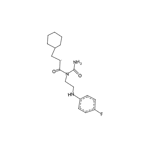 NC(=O)N(CCNc1ccc(F)cc1)C(=O)[CH]CC1CCCCC1